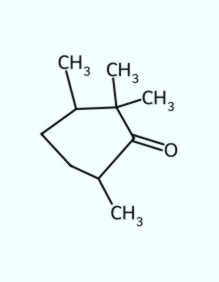 CC1CCC(C)C(C)(C)C1=O